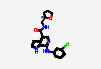 O=C(NC[C@H]1CCCO1)c1cnc(Nc2cccc(Cl)c2)c2[nH]ccc12